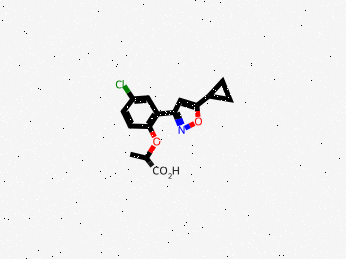 CC(Oc1ccc(Cl)cc1-c1cc(C2CC2)on1)C(=O)O